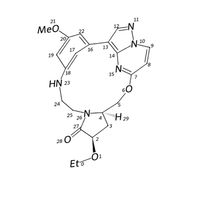 CCO[C@@H]1C[C@@H]2COc3ccn4ncc(c4n3)-c3cc(cc(OC)c3)NCCN2C1=O